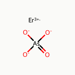 O=[As]([O-])([O-])[O-].[Er+3]